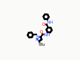 CC(C)(C)c1cc(C(=O)Nc2cccc(C(=O)Nc3ccccc3)c2)n(Cc2ccccc2)n1